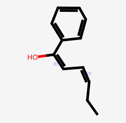 CC/C=C\C=C(\O)c1ccccc1